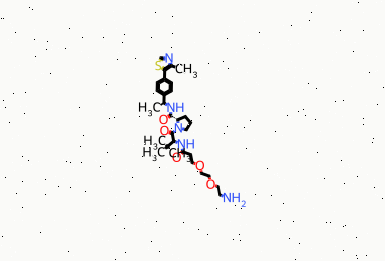 Cc1ncsc1-c1ccc([C@H](C)NC(=O)[C@@H]2CCCN2C(=O)C(NC(=O)CCOCCOCCN)C(C)(C)C)cc1